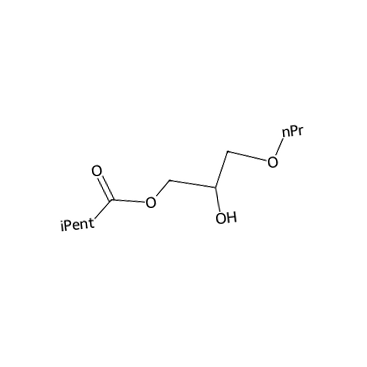 CCCOCC(O)COC(=O)C(C)CCC